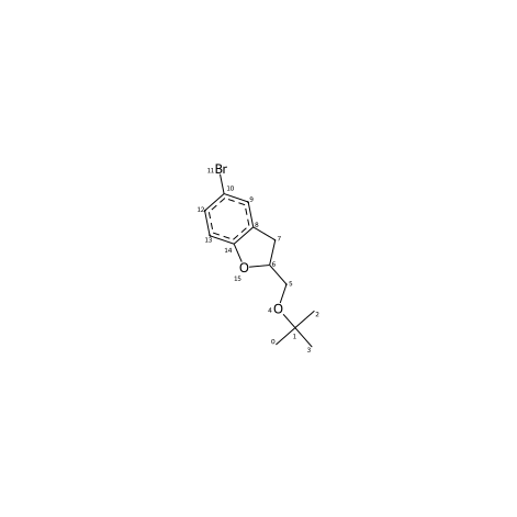 CC(C)(C)OCC1Cc2cc(Br)ccc2O1